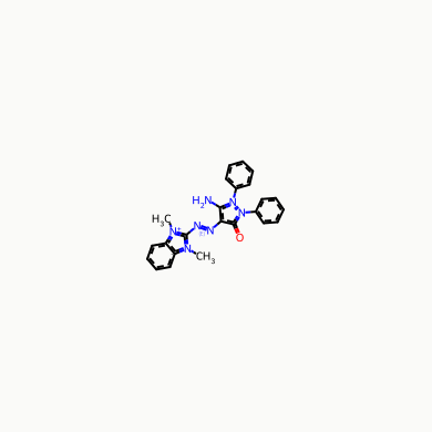 Cn1c(/N=N/c2c(N)n(-c3ccccc3)n(-c3ccccc3)c2=O)[n+](C)c2ccccc21